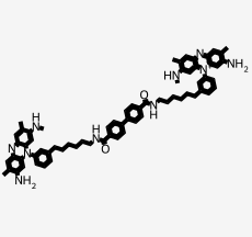 CNC1=CC2C(=Nc3cc(C)c(N)cc3N2c2cccc(CCCCCCNC(=O)c3ccc(-c4ccc(C(=O)NCCCCCCc5cccc(-[n+]6c7cc(N)c(C)cc7nc7cc(C)c(NC)cc76)c5)cc4)cc3)c2)C=C1C